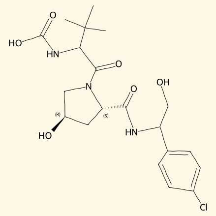 CC(C)(C)C(NC(=O)O)C(=O)N1C[C@H](O)C[C@H]1C(=O)NC(CO)c1ccc(Cl)cc1